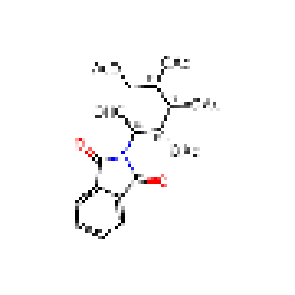 CC(=O)OC[C@@H](OC(C)=O)[C@@H](OC(C)=O)[C@H](OC(C)=O)[C@H](C=O)N1C(=O)c2ccccc2C1=O